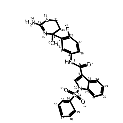 CC1(c2cc(NC(=O)c3cn(S(=O)(=O)c4ccccc4)c4ccccc34)ccc2F)CCSC(N)=N1